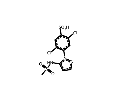 CS(=O)(=O)Nc1ccnn1-c1cc(Cl)c(S(=O)(=O)O)cc1Cl